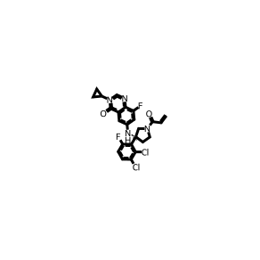 C=CC(=O)N1CC[C@@](Nc2cc(F)c3ncn(C4CC4)c(=O)c3c2)(c2c(F)ccc(Cl)c2Cl)C1